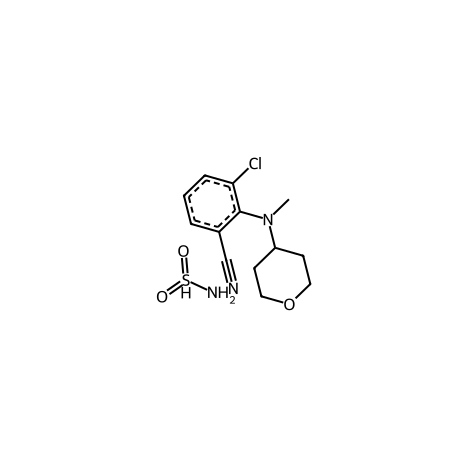 CN(c1c(Cl)cccc1C#N)C1CCOCC1.N[SH](=O)=O